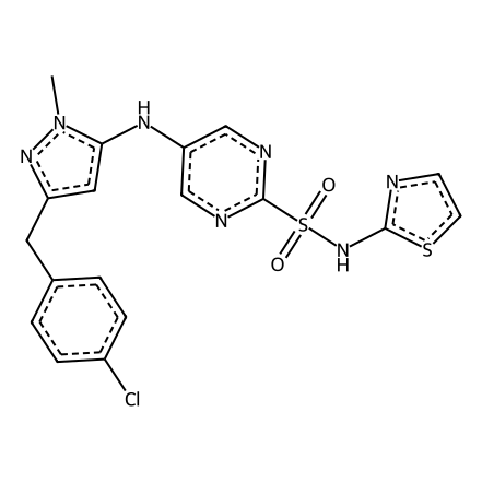 Cn1nc(Cc2ccc(Cl)cc2)cc1Nc1cnc(S(=O)(=O)Nc2nccs2)nc1